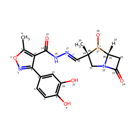 Cc1onc(-c2ccc(O)c(O)c2)c1C(=O)N/N=C/[C@@]1(C)CN2C(=O)C[C@H]2[S+]1[O-]